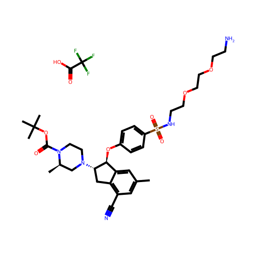 Cc1cc(C#N)c2c(c1)[C@H](Oc1ccc(S(=O)(=O)NCCOCCOCCN)cc1)[C@@H](N1CCN(C(=O)OC(C)(C)C)[C@H](C)C1)C2.O=C(O)C(F)(F)F